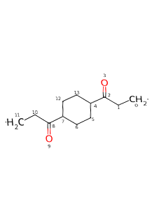 [CH2]CC(=O)C1CCC(C(=O)C[CH2])CC1